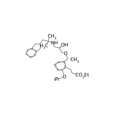 CCOC(=O)CCc1c(OC(C)C)cccc1[C@@H](C)OC[C@H](O)CNC(C)(C)CC1Cc2ccccc2C1